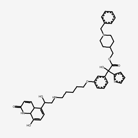 O=C1C=CC2C(C(O)CNCCCCCOc3cccc(C(O)(C(=O)OCC4CCN(Cc5ccccc5)CC4)c4cccs4)c3)=CC=C(O)C2N1